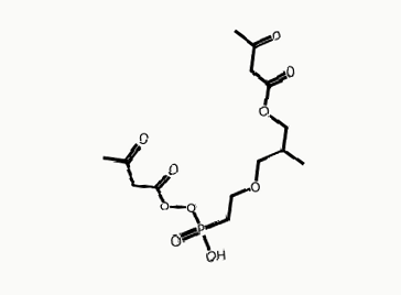 CC(=O)CC(=O)OCC(C)COCCP(=O)(O)OOC(=O)CC(C)=O